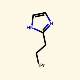 CCC[CH]Cc1ncc[nH]1